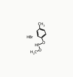 Br.COPOc1ccc(C)cc1